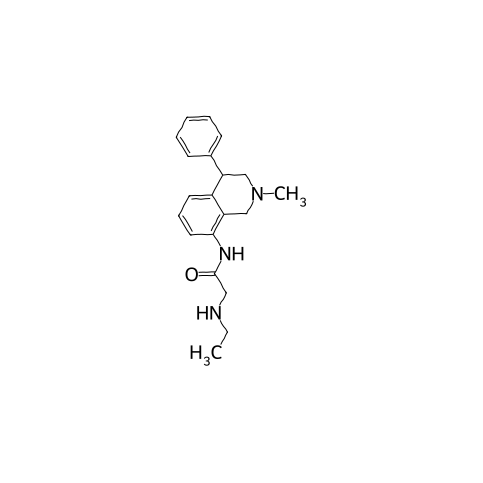 CCNCC(=O)Nc1cccc2c1CN(C)CC2c1ccccc1